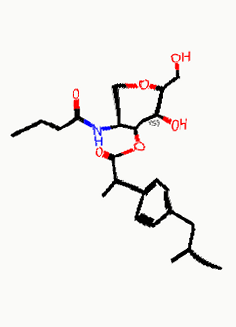 CCCC(=O)NC1COC(CO)[C@@H](O)C1OC(=O)C(C)c1ccc(CC(C)C)cc1